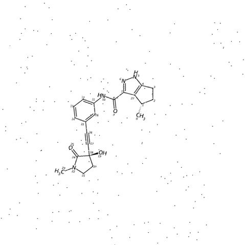 C[C@H]1CCc2[nH]nc(C(=O)Nc3cccc(C#C[C@]4(O)CCN(C)C4=O)c3)c21